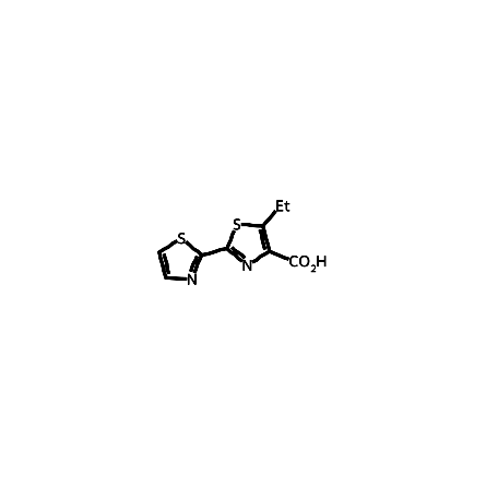 CCc1sc(-c2nccs2)nc1C(=O)O